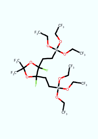 FC(F)(F)CO[Si](CCC1(F)OC(C(F)(F)F)(C(F)(F)F)OC1(F)CC[Si](OCC(F)(F)F)(OCC(F)(F)F)OCC(F)(F)F)(OCC(F)(F)F)OCC(F)(F)F